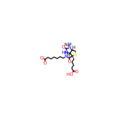 O=C([O-])CCCCCCNC(=O)[C@@]1(CCCCC(=O)O)SC[C@@H]2NC(=O)N[C@@H]21.[Na+]